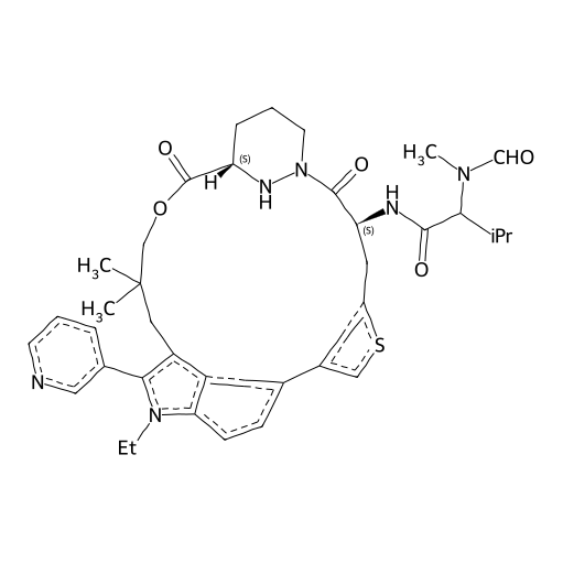 CCn1c(-c2cccnc2)c2c3cc(ccc31)-c1csc(c1)C[C@H](NC(=O)C(C(C)C)N(C)C=O)C(=O)N1CCC[C@H](N1)C(=O)OCC(C)(C)C2